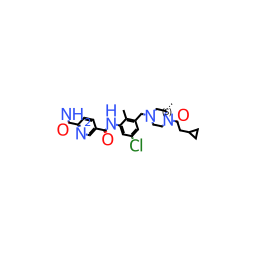 Cc1c(CN2CCN(C(=O)CC3CC3)[C@@H](C)C2)cc(Cl)cc1NC(=O)c1ccc(C(N)=O)nc1